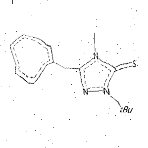 Cn1c(-c2ccccc2)nn(C(C)(C)C)c1=S